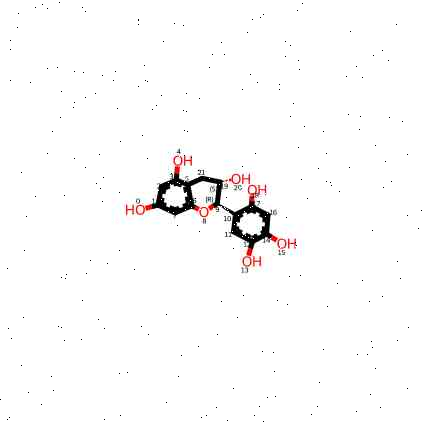 Oc1cc(O)c2c(c1)O[C@H](c1cc(O)c(O)cc1O)[C@@H](O)C2